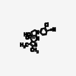 Cc1sc2c(c1C)C(=O)[C@]1(O)CCN(c3ccc(C#N)c(Cl)c3)C1=N2